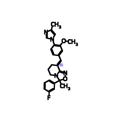 COc1cc(/C=C2\CCCN3C2=NOC3(C)c2cccc(F)c2)ccc1-n1cnc(C)c1